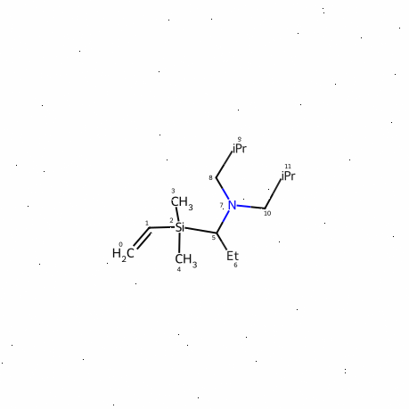 C=C[Si](C)(C)C(CC)N(CC(C)C)CC(C)C